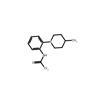 CC1CCN(c2ccccc2NC(=O)C(F)(F)F)CC1